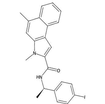 Cc1cc2c(cc(C(=O)N[C@H](C)c3ccc(I)cc3)n2C)c2ccccc12